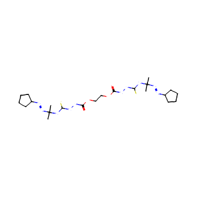 CC(C)(N=NC1CCCC1)NC(S)NNC(=O)OCCOC(=O)NNC(S)NC(C)(C)N=NC1CCCC1